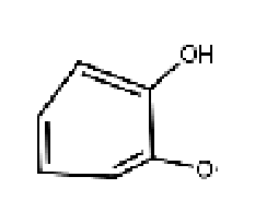 [O]c1ccccc1O